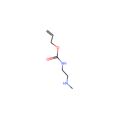 C=CCOC(=O)NCCNC